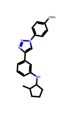 COc1ccc(-n2cc(-c3cccc(NC4CC[CH]C4C)c3)nn2)cc1